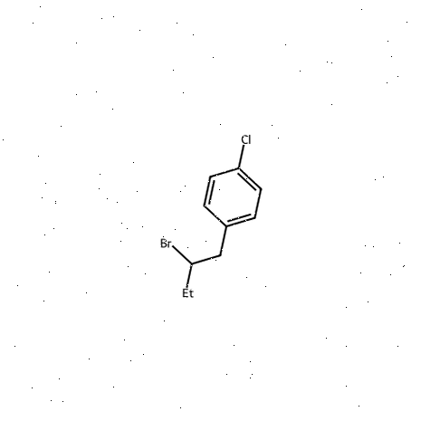 CCC(Br)Cc1ccc(Cl)cc1